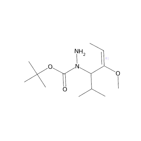 C/C=C(/OC)C(C(C)C)N(N)C(=O)OC(C)(C)C